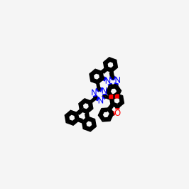 c1ccc2c(c1)nc1c3ccccc3c3cccc(-c4nc(-c5ccc6c7ccccc7c7ccccc7c6c5)nc(-c5cccc6oc7ccccc7c56)n4)c3n21